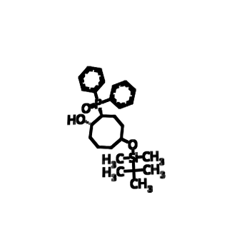 CC(C)(C)[Si](C)(C)OC1CCC[C@H](O)[C@@H](P(=O)(c2ccccc2)c2ccccc2)CC1